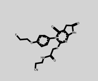 N#CCCNC(=O)CSc1nc2c(c(=O)n1-c1ccc(OCCF)cc1)CC(=O)N2